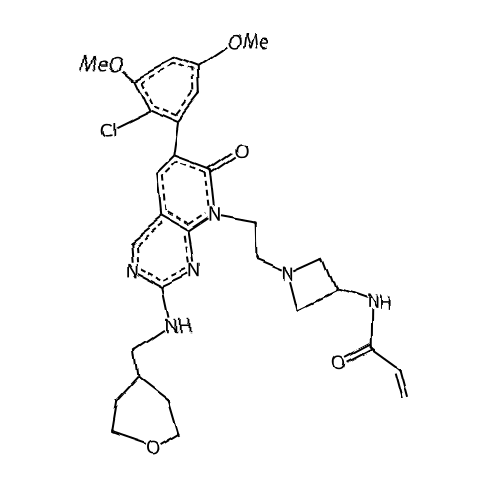 C=CC(=O)NC1CN(CCn2c(=O)c(-c3cc(OC)cc(OC)c3Cl)cc3cnc(NCC4CCOCC4)nc32)C1